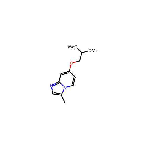 COC(COc1ccn2c(C)cnc2c1)OC